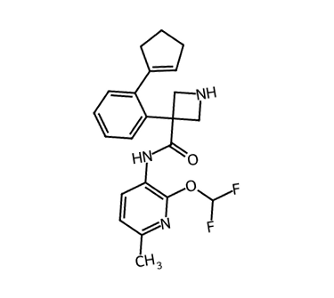 Cc1ccc(NC(=O)C2(c3ccccc3C3=CCCC3)CNC2)c(OC(F)F)n1